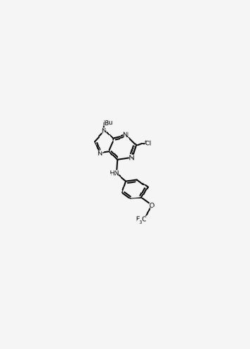 CCC(C)n1cnc2c(Nc3ccc(OC(F)(F)F)cc3)nc(Cl)nc21